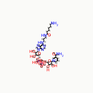 NCCCCCC(=O)NCCCNc1ncnc2c1ncn2[C@@H]1O[C@H](COP(=O)(O)OP(=O)(O)OC[C@H]2O[C@@H]([n+]3cccc(C(N)=O)c3)[C@H](O)[C@@H]2O)[C@@H](O)[C@H]1O